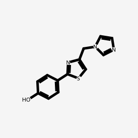 Oc1ccc(-c2nc(Cn3ccnc3)cs2)cc1